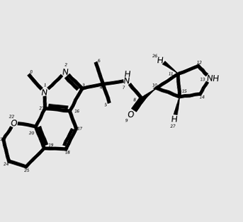 Cn1nc(C(C)(C)NC(=O)[C@H]2[C@@H]3CNC[C@@H]32)c2ccc3c(c21)OCCC3